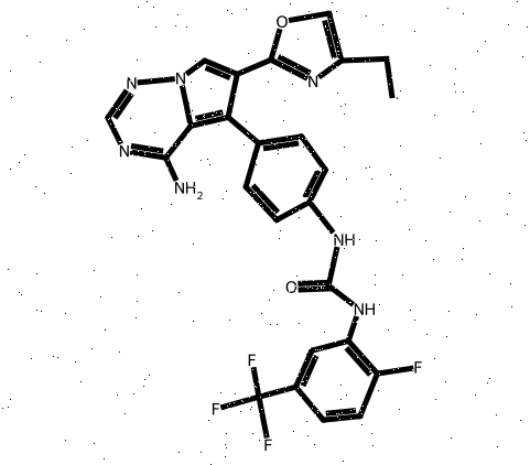 [CH2]Cc1coc(-c2cn3ncnc(N)c3c2-c2ccc(NC(=O)Nc3cc(C(F)(F)F)ccc3F)cc2)n1